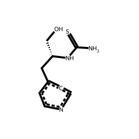 NC(=S)N[C@@H](CO)Cc1ccncc1